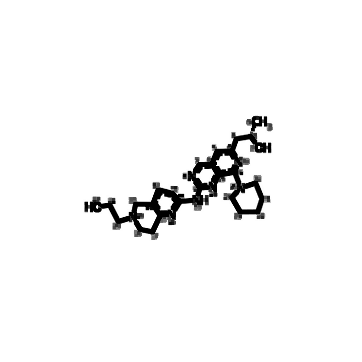 C[C@H](O)Cc1cc2cnc(Nc3ccc4c(n3)CCN(CCO)C4)nc2c(N2CCCCC2)n1